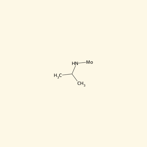 CC(C)[NH][Mo]